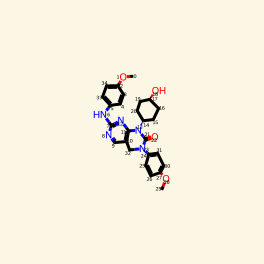 COc1ccc(Nc2ncc3c(n2)N([C@H]2CC[C@H](O)CC2)C(=O)N(c2ccc(OC)cc2)C3)cc1